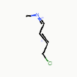 C/N=C\C=C\CCl